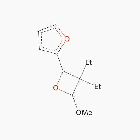 CCC1(CC)C(OC)OC1c1ccco1